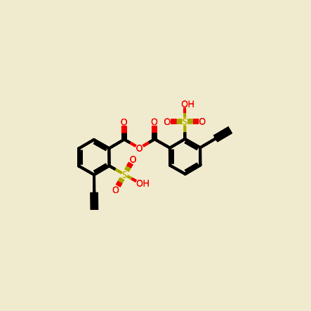 C#Cc1cccc(C(=O)OC(=O)c2cccc(C#C)c2S(=O)(=O)O)c1S(=O)(=O)O